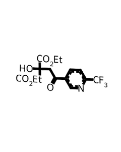 CCOC(=O)C(O)(CC(=O)c1ccc(C(F)(F)F)nc1)C(=O)OCC